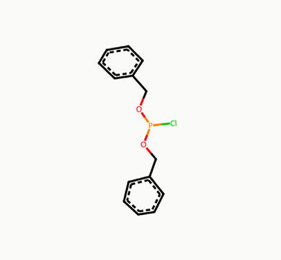 ClP(OCc1ccccc1)OCc1ccccc1